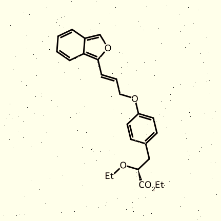 CCOC(=O)[C@H](Cc1ccc(OCC=Cc2occ3ccccc23)cc1)OCC